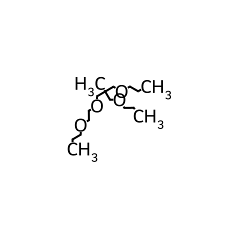 CCCOCCOCC(C)(COCCC)COCCC